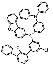 Clc1cc(-c2cccc3c2oc2ccccc23)cc(N(c2cccc(N(c3ccccc3)c3ccccc3)c2)c2ccc3oc4ccccc4c3c2)c1